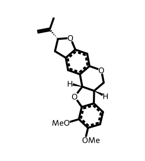 C=C(C)[C@H]1Cc2cc3c(cc2O1)OC[C@@H]1c2ccc(OC)c(OC)c2O[C@H]31